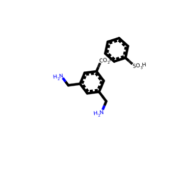 NCc1cc(CN)cc(C(=O)O)c1.O=S(=O)(O)c1ccccc1